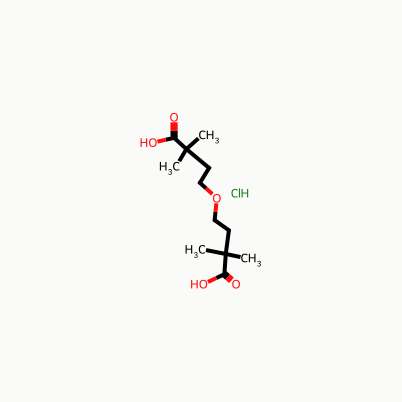 CC(C)(CCOCCC(C)(C)C(=O)O)C(=O)O.Cl